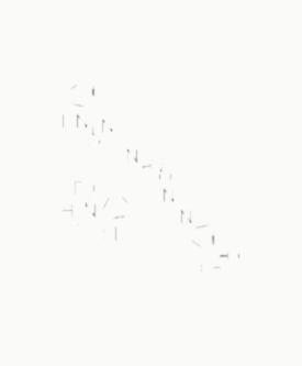 Nc1c(Cl)cc(CC(CC(=O)N2CCC(N3CCc4ccccc4NC3=O)CC2)C(=O)N2CCN(c3ccc(C(=O)C(F)(F)F)cc3)CC2)cc1C(F)(F)F